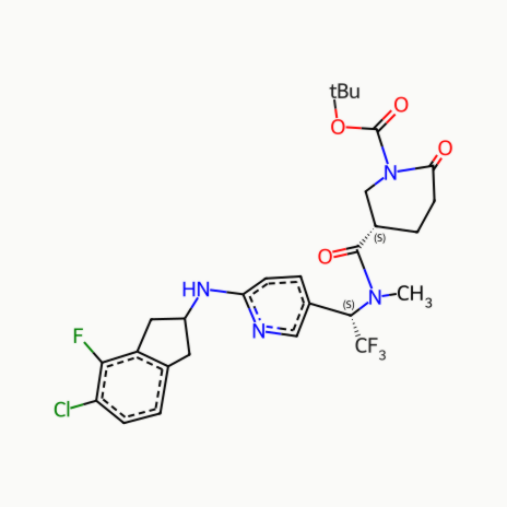 CN(C(=O)[C@H]1CCC(=O)N(C(=O)OC(C)(C)C)C1)[C@@H](c1ccc(NC2Cc3ccc(Cl)c(F)c3C2)nc1)C(F)(F)F